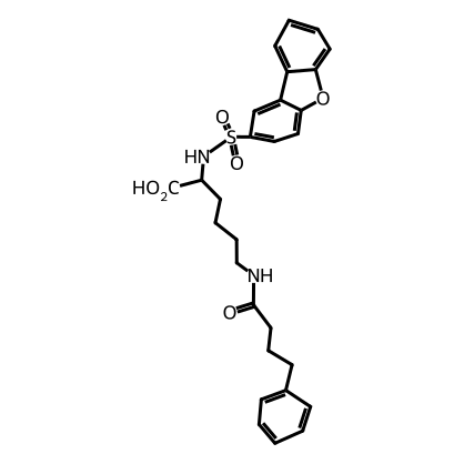 O=C(CCCc1ccccc1)NCCCCC(NS(=O)(=O)c1ccc2oc3ccccc3c2c1)C(=O)O